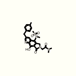 Cc1ccc(Cc2cnc3c(O)c4c(c(N(C)S(C)(=O)=O)c3c2)CN(CC(=O)N(C)C)C4=O)cc1